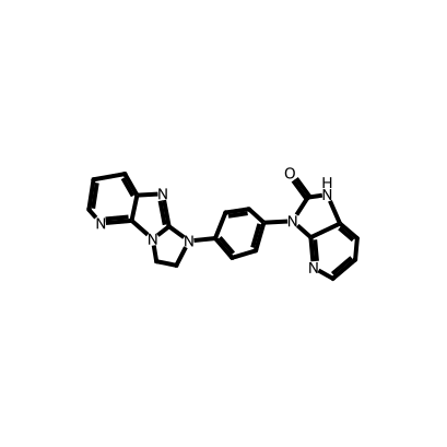 O=c1[nH]c2cccnc2n1-c1ccc(N2CCn3c2nc2cccnc23)cc1